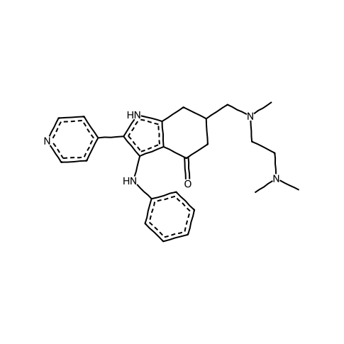 CN(C)CCN(C)CC1CC(=O)c2c([nH]c(-c3ccncc3)c2Nc2ccccc2)C1